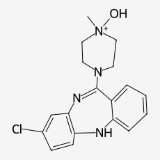 C[N+]1(O)CCN(C2=Nc3cc(Cl)ccc3Nc3ccccc32)CC1